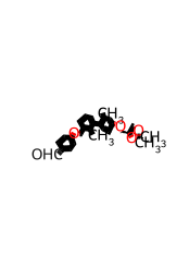 Cc1cc(OC[C@H]2COC(C)(C)O2)ccc1-c1cccc(COc2ccc(C=O)cc2)c1C